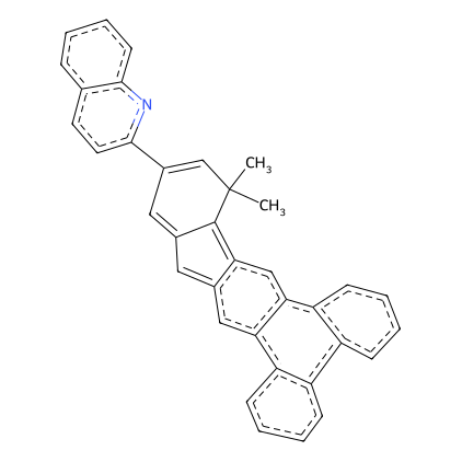 CC1(C)C=C(c2ccc3ccccc3n2)C=C2C=c3cc4c5ccccc5c5ccccc5c4cc3=C21